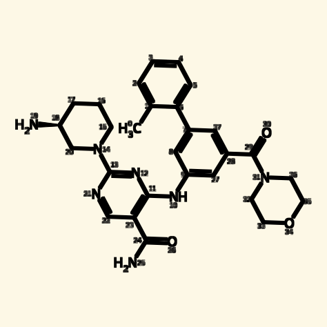 Cc1ccccc1-c1cc(Nc2nc(N3CCC[C@H](N)C3)ncc2C(N)=O)cc(C(=O)N2CCOCC2)c1